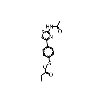 CCC(=O)OSc1ccc(-c2csc(NC(C)=O)n2)cc1